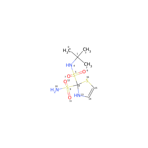 CC(C)(C)NS(=O)(=O)C1(S(N)(=O)=O)NC=CS1